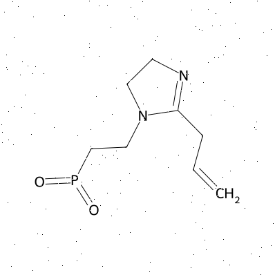 C=CCC1=NCCN1CCP(=O)=O